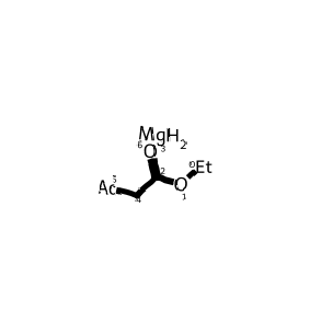 CCOC(=O)CC(C)=O.[MgH2]